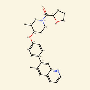 Cc1cc2cccnc2cc1-c1ccc(OC2CCN(C(=O)[C@H]3CCCO3)CC2C)cc1